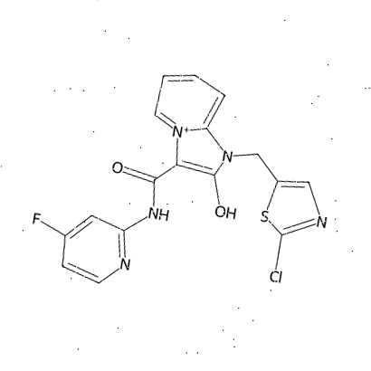 O=C(Nc1cc(F)ccn1)c1c(O)n(Cc2cnc(Cl)s2)c2cccc[n+]12